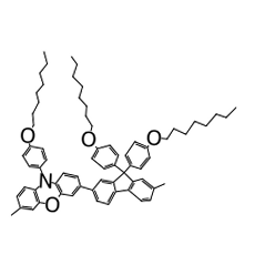 CCCCCCCCOc1ccc(N2c3ccc(C)cc3Oc3cc(-c4ccc5c(c4)C(c4ccc(OCCCCCCCC)cc4)(c4ccc(OCCCCCCCC)cc4)c4cc(C)ccc4-5)ccc32)cc1